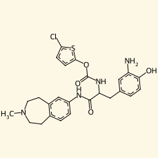 CN1CCc2ccc(NC(=O)C(Cc3ccc(O)c(N)c3)NC(=O)Oc3ccc(Cl)s3)cc2CC1